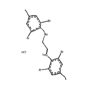 Cc1cc(Br)c(NCCNc2c(Br)cc(C)cc2Br)c(Br)c1.Cl